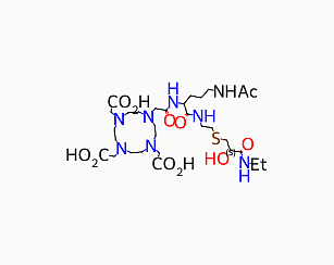 CCNC(=O)[C@H](O)CSCCNC(=O)C(CCCNC(C)=O)NC(=O)CN1CCN(CC(=O)O)CCN(CC(=O)O)CCN(CC(=O)O)CC1